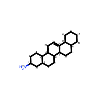 NC1CCC2C(CCC3C4CCC5CCCCC5C4=CCC23)C1